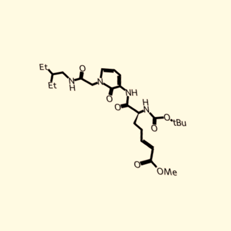 CCC(CC)CNC(=O)Cn1cccc(NC(=O)[C@H](CC/C=C/C(=O)OC)NC(=O)OC(C)(C)C)c1=O